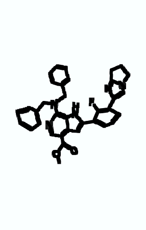 COC(=O)c1cnc(N(Cc2ccccc2)Cc2ccccc2)c2[nH]c(-c3cccc(-c4cn5c(n4)CCC5)c3F)cc12